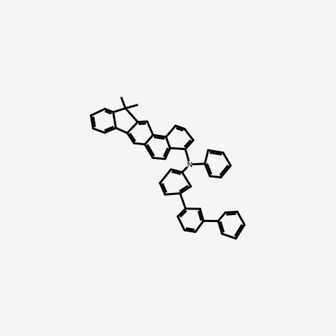 CC1(C)c2ccccc2-c2cc3ccc4c(N(c5ccccc5)c5cccc(-c6cccc(-c7ccccc7)c6)c5)cccc4c3cc21